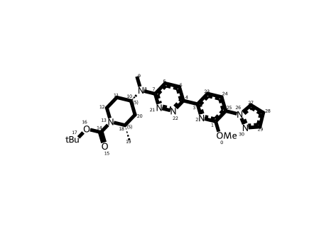 COc1nc(-c2ccc(N(C)[C@H]3CCN(C(=O)OC(C)(C)C)[C@@H](C)C3)nn2)ccc1-n1cccn1